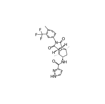 Cc1ccc(N2C(=O)[C@@H]3[C@H](C2=O)[C@@]2(C)C[C@@H](NC(=O)c4cc[nH]n4)[C@]3(C)O2)cc1C(F)(F)F